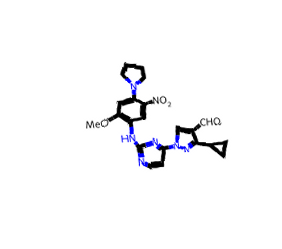 COc1cc(N2CCCC2)c([N+](=O)[O-])cc1Nc1nccc(-n2cc(C=O)c(C3CC3)n2)n1